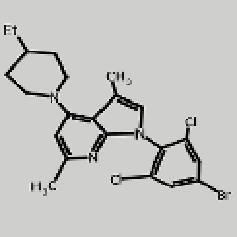 CCC1CCN(c2cc(C)nc3c2c(C)cn3-c2c(Cl)cc(Br)cc2Cl)CC1